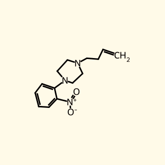 C=CCCN1CCN(c2ccccc2[N+](=O)[O-])CC1